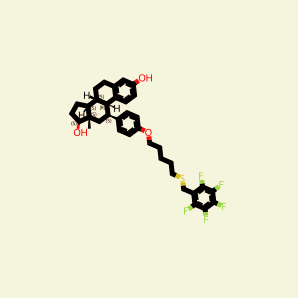 C[C@]12C[C@H](c3ccc(OCCCCCSCc4c(F)c(F)c(F)c(F)c4F)cc3)[C@@H]3c4ccc(O)cc4CC[C@H]3[C@@H]1CC[C@@H]2O